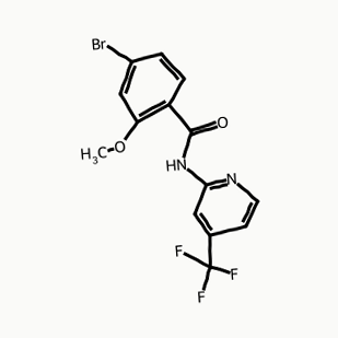 COc1cc(Br)ccc1C(=O)Nc1cc(C(F)(F)F)ccn1